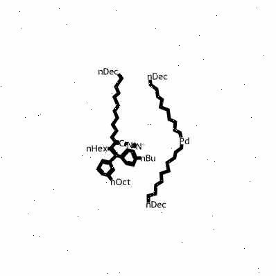 CCCCCCCCCCCCCCCCCCCCC(=C=[N+]=[N-])C(CCCCCC)=C(c1ccc(CCCC)cc1)c1cccc(CCCCCCCC)c1.CCCCCCCCCCCCCCCCCCC[CH2][Pd][CH2]CCCCCCCCCCCCCCCCCCC